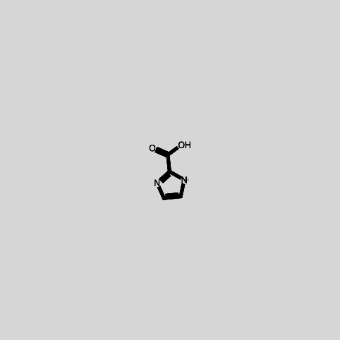 O=C(O)C1=NC=C[N]1